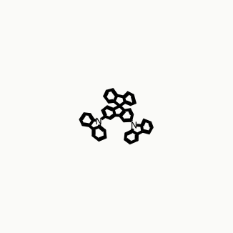 c1ccc2c(c1)-c1ccccc1C21c2ccc(-n3c4ccccc4c4ccccc43)cc2-c2cc(-n3c4ccccc4c4ccccc43)ccc21